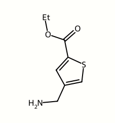 CCOC(=O)c1cc(CN)cs1